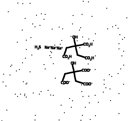 O=C(O)CC(O)(CC(=O)O)C(=O)O.O=C([O-])CC(O)(CC(=O)[O-])C(=O)[O-].S.[Na+].[Na+].[Na+]